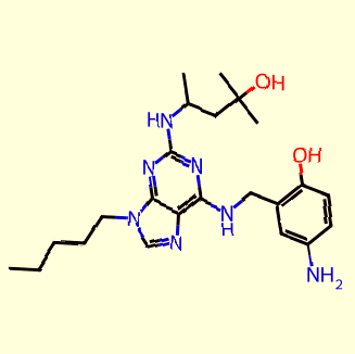 CCCCCn1cnc2c(NCc3cc(N)ccc3O)nc(NC(C)CC(C)(C)O)nc21